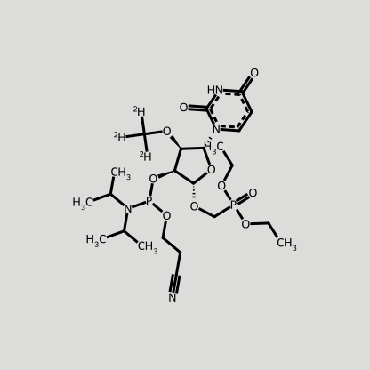 [2H]C([2H])([2H])O[C@@H]1[C@H](OP(OCCC#N)N(C(C)C)C(C)C)[C@@H](OCP(=O)(OCC)OCC)O[C@H]1n1ccc(=O)[nH]c1=O